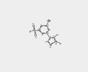 Cc1c(-c2cc(Br)cc(S(C)(=O)=O)c2)cnn1C